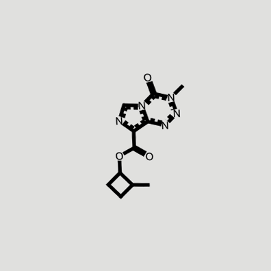 CC1CCC1OC(=O)c1ncn2c(=O)n(C)nnc12